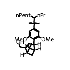 CCCCCC(CCC)C(C)(C)c1cc(OC)c([C@H]2C=C(CO)[C@H]3C[C@@H]2C3(C)C)c(OC)c1